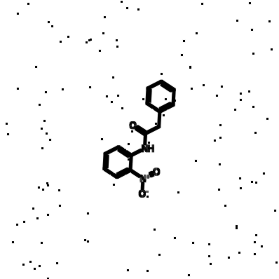 O=C(Cc1ccccc1)Nc1ccccc1[N+](=O)[O-]